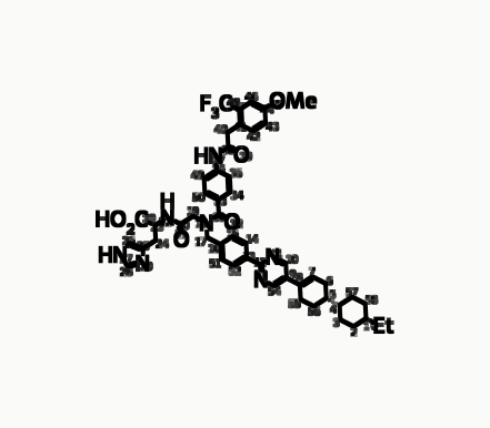 CC[C@H]1CC[C@H](C2CC=C(c3cnc(-c4ccc(CN(CC(=O)N[C@@H](Cc5c[nH]cn5)C(=O)O)C(=O)c5ccc(NC(=O)Cc6ccc(OC)cc6C(F)(F)F)cc5)cc4)nc3)CC2)CC1